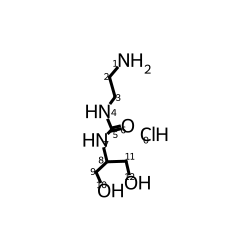 Cl.NCCNC(=O)NC(CO)CO